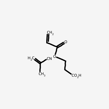 C=C(C)C#N.C=CC(=O)OCCC(=O)O